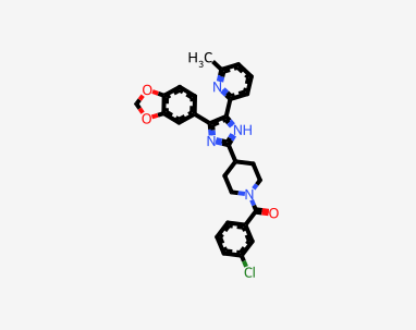 Cc1cccc(-c2[nH]c(C3CCN(C(=O)c4cccc(Cl)c4)CC3)nc2-c2ccc3c(c2)OCO3)n1